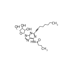 CCCCCCC#Cc1nc(NC(=O)CCC)c2ncn([C@@H]3O[C@H](CO)[C@@H](O)[C@H]3O)c2n1